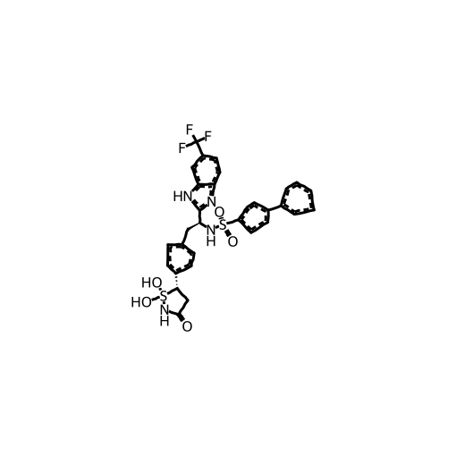 O=C1C[C@@H](c2ccc(C[C@H](NS(=O)(=O)c3ccc(-c4ccccc4)cc3)c3nc4ccc(C(F)(F)F)cc4[nH]3)cc2)S(O)(O)N1